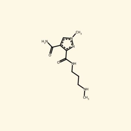 CNCCCNC(=O)c1nn(C)cc1C(N)=O